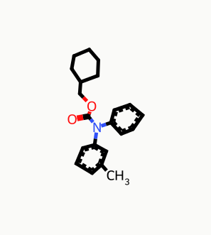 Cc1cccc(N(C(=O)OCC2CCCCC2)c2ccccc2)c1